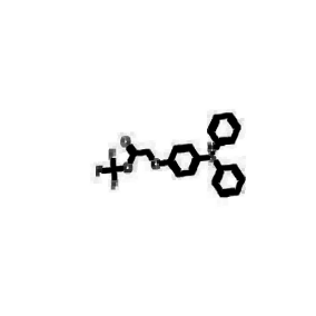 O=C(COc1ccc([SH](c2ccccc2)c2ccccc2)cc1)OC(F)(F)F